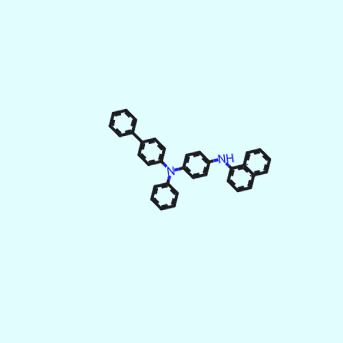 c1ccc(-c2ccc(N(c3ccccc3)c3ccc(Nc4cccc5ccccc45)cc3)cc2)cc1